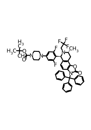 C[C@@H]1Cc2c(ccc3c2oc(=O)n3C(c2ccccc2)(c2ccccc2)c2ccccc2)[C@@H](c2c(F)cc(N3CCN(C(=O)OC(C)(C)C)CC3)cc2F)N1CC(F)(F)F